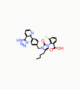 CCCCc1cn(-c2c(F)cccc2C(=O)O)c(=O)n1Cc1ccc(-c2ncccc2-c2nnn[nH]2)cc1